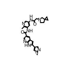 Cc1ncc(NC(=O)CN2CCC3(CC3)C2)cc1NC(=O)c1cnc2[nH]c(-c3cnn(C)c3)cc2c1